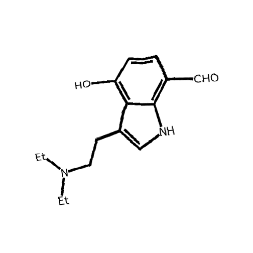 CCN(CC)CCc1c[nH]c2c(C=O)ccc(O)c12